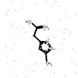 C=C(C)Cc1cc(C)on1